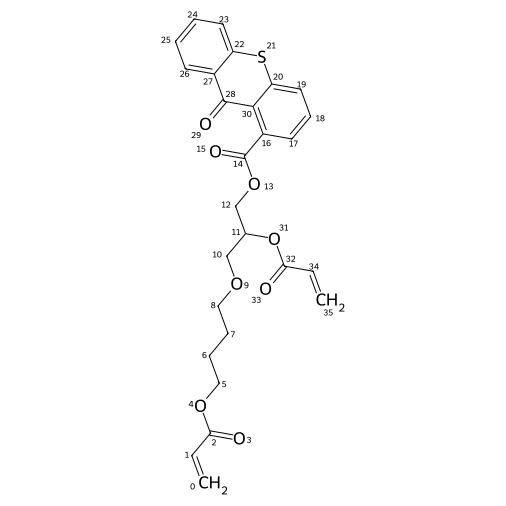 C=CC(=O)OCCCCOCC(COC(=O)c1cccc2sc3ccccc3c(=O)c12)OC(=O)C=C